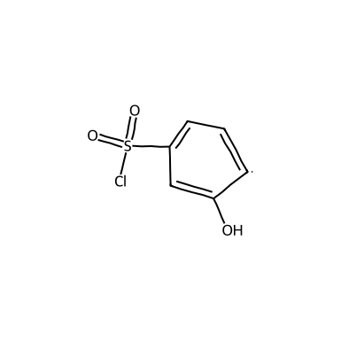 O=S(=O)(Cl)c1cc[c]c(O)c1